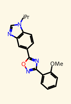 COc1ccccc1-c1noc(-c2ccc3c(c2)ncn3C(C)C)n1